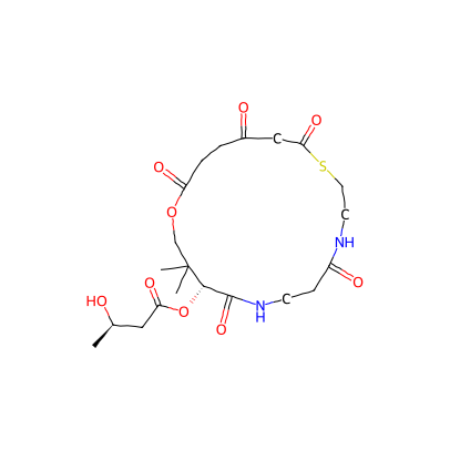 C[C@@H](O)CC(=O)O[C@H]1C(=O)NCCC(=O)NCCSC(=O)CC(=O)CCC(=O)OCC1(C)C